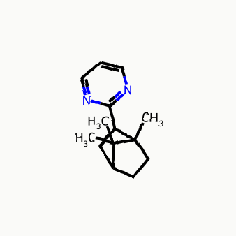 CC1(C)C2CCC1(C)C(c1ncccn1)C2